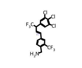 NCc1ccc(/C=C/C(c2cc(Cl)c(Cl)c(Cl)c2)C(F)(F)F)cc1C(F)(F)F